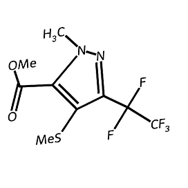 COC(=O)c1c(SC)c(C(F)(F)C(F)(F)F)nn1C